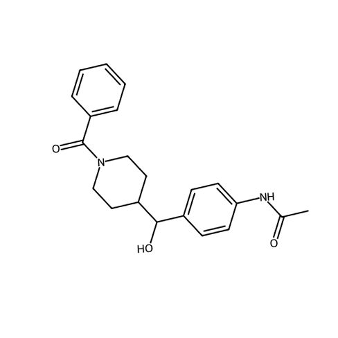 CC(=O)Nc1ccc(C(O)C2CCN(C(=O)c3ccccc3)CC2)cc1